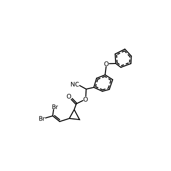 N#CC(OC(=O)C1CC1C=C(Br)Br)c1cccc(Oc2ccccc2)c1